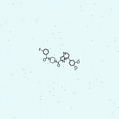 COc1ccc(-c2ccnc3cc(C(=O)N4CCN(C(=O)c5cccc(F)c5)[C@@H](C)C4)nn23)cc1OC